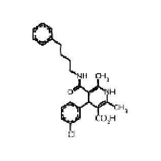 CC1=C(C(=O)O)C(c2cccc(Cl)c2)C(C(=O)NCCCCc2ccccc2)=C(C)N1